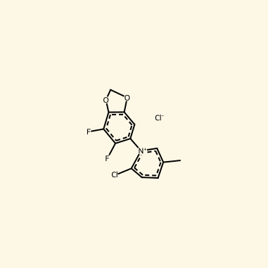 Cc1ccc(Cl)[n+](-c2cc3c(c(F)c2F)OCO3)c1.[Cl-]